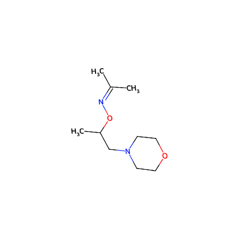 CC(C)=NOC(C)CN1CCOCC1